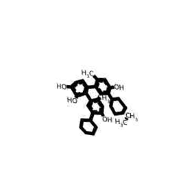 CC.Cc1cc(O)c(C2CCCCC2)cc1-c1ccc(O)c(O)c1-c1cc(C2CCCCC2)c(O)cc1C